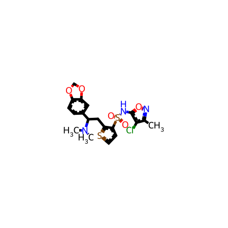 Cc1noc(NS(=O)(=O)c2ccsc2CC(c2ccc3c(c2)OCO3)N(C)C)c1Cl